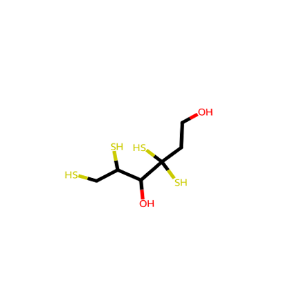 OCCC(S)(S)C(O)C(S)CS